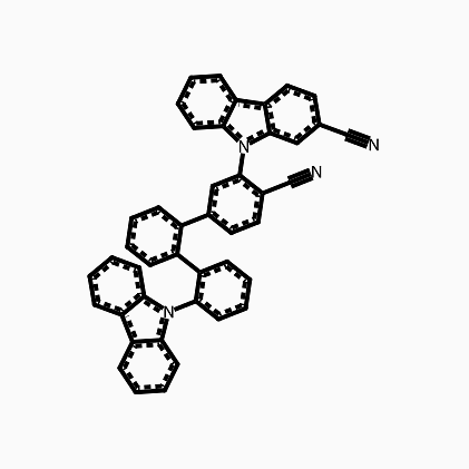 N#Cc1ccc2c3ccccc3n(-c3cc(-c4ccccc4-c4ccccc4-n4c5ccccc5c5ccccc54)ccc3C#N)c2c1